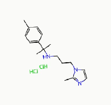 Cc1ccc(C(C)(C)NCCCn2ccnc2C)cc1.Cl.Cl